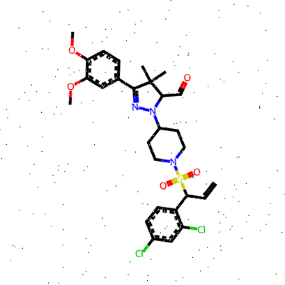 C=CC(c1ccc(Cl)cc1Cl)S(=O)(=O)N1CCC(N2N=C(c3ccc(OC)c(OC)c3)C(C)(C)C2C=O)CC1